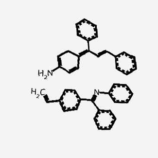 C=Cc1ccc(C(=Nc2ccccc2)c2ccccc2)cc1.NC1=CCC(=C(C=Cc2ccccc2)c2ccccc2)C=C1